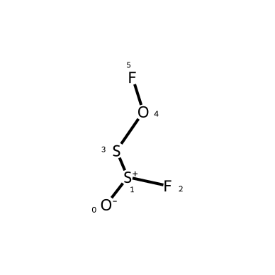 [O-][S+](F)SOF